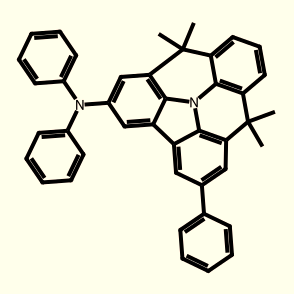 CC1(C)c2cccc3c2-n2c4c1cc(-c1ccccc1)cc4c1cc(N(c4ccccc4)c4ccccc4)cc(c12)C3(C)C